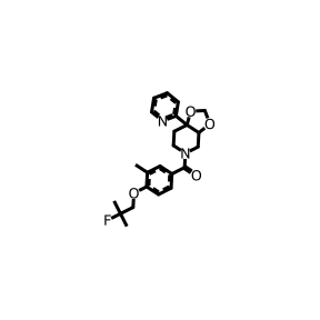 Cc1cc(C(=O)N2CCC3(c4ccccn4)OCOC3C2)ccc1OCC(C)(C)F